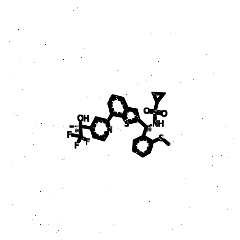 CSc1ccccc1[C@@H](NS(=O)(=O)C1CC1)c1cc2cccc(-c3cc([C@](C)(O)C(F)(F)F)ccn3)c2s1